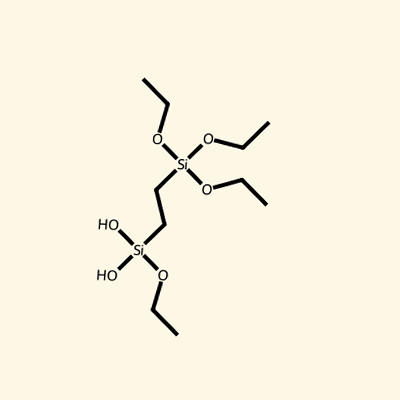 CCO[Si](O)(O)CC[Si](OCC)(OCC)OCC